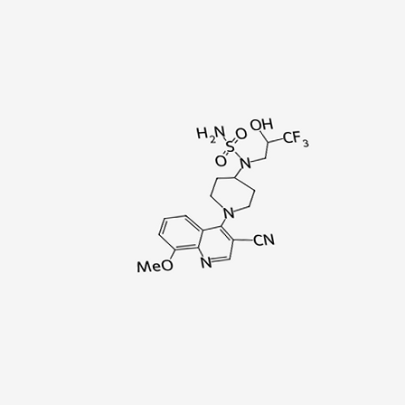 COc1cccc2c(N3CCC(N(CC(O)C(F)(F)F)S(N)(=O)=O)CC3)c(C#N)cnc12